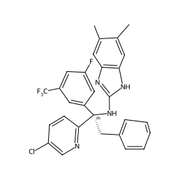 Cc1cc2nc(N[C@](Cc3ccccc3)(c3cc(F)cc(C(F)(F)F)c3)c3ccc(Cl)cn3)[nH]c2cc1C